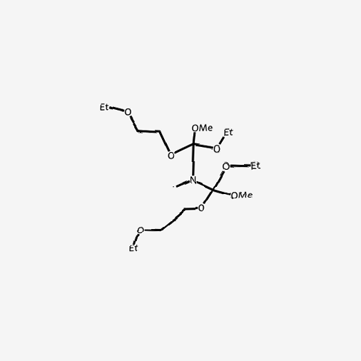 [CH2]N(C(OC)(OCC)OCCOCC)C(OC)(OCC)OCCOCC